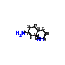 NC1=CC23C=CNC=C2C=CC=C3C=C1